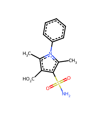 Cc1c(C(=O)O)c(S(N)(=O)=O)c(C)n1-c1ccccc1